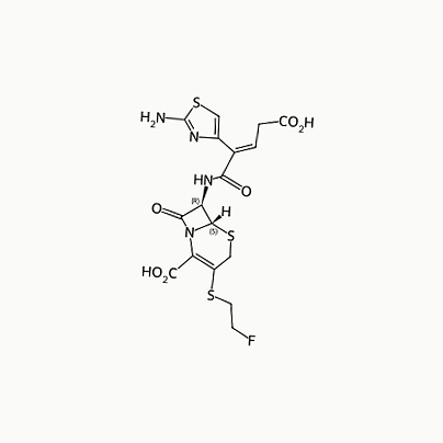 Nc1nc(C(=CCC(=O)O)C(=O)N[C@@H]2C(=O)N3C(C(=O)O)=C(SCCF)CS[C@@H]23)cs1